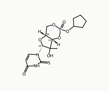 CC1(O)[C@H]2OP(=O)(OC3CCCC3)OC[C@H]2O[C@H]1n1ccc(=O)[nH]c1=S